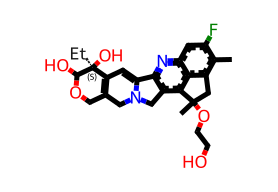 CC[C@]1(O)C2=C(COC1O)CN1Cc3c(nc4cc(F)c(C)c5c4c3C(C)(OCCO)C5)C1=C2